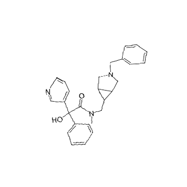 CN(CC1C2CN(Cc3ccccc3)CC21)C(=O)C(O)(c1ccccc1)c1cccnc1